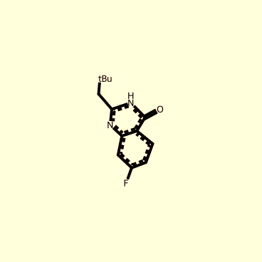 CC(C)(C)Cc1nc2cc(F)ccc2c(=O)[nH]1